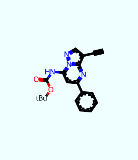 C#Cc1cnn2c(NC(=O)OC(C)(C)C)cc(-c3ccccc3)nc12